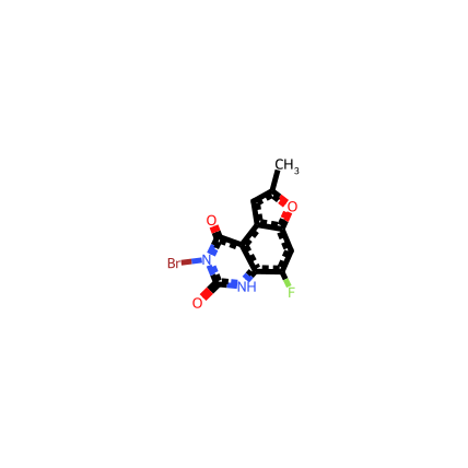 Cc1cc2c(cc(F)c3[nH]c(=O)n(Br)c(=O)c32)o1